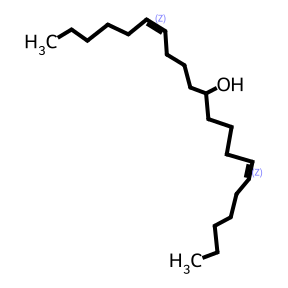 CCCCC/C=C\CCCC(O)CCC/C=C\CCCCC